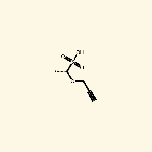 C#CCO[C@H](C)S(=O)(=O)O